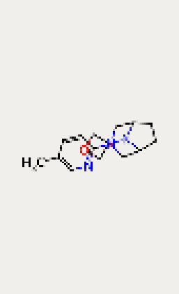 Cc1ccc(N2CC3CCC(C2)N3C2COC2)nc1